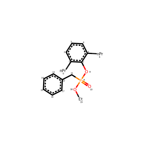 CCCc1cccc(CCC)c1OP(=O)(Cc1ccccc1)OCC